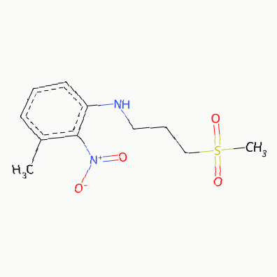 Cc1cccc(NCCCS(C)(=O)=O)c1[N+](=O)[O-]